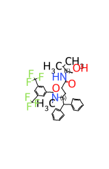 CC(C)[C@@H](CO)NC(=O)CC[C@@H](C(c1ccccc1)c1ccccc1)N(C)C(=O)c1cc(C(F)(F)F)cc(C(F)(F)F)c1